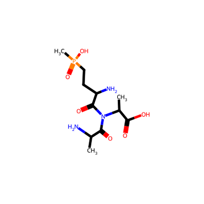 CC(N)C(=O)N(C(=O)C(N)CCP(C)(=O)O)C(C)C(=O)O